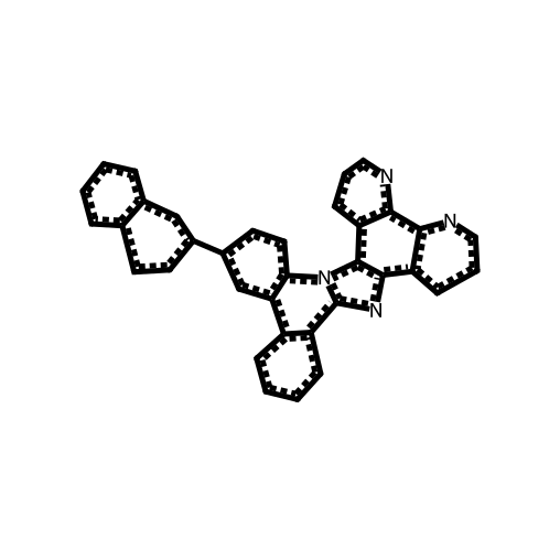 c1ccc2cc(-c3ccc4c(c3)c3ccccc3c3nc5c6cccnc6c6ncccc6c5n43)ccc2c1